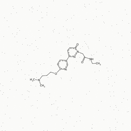 CCNC(=O)Cn1nc(-c2ccc(OCCCN(C)C)nc2)ccc1=O